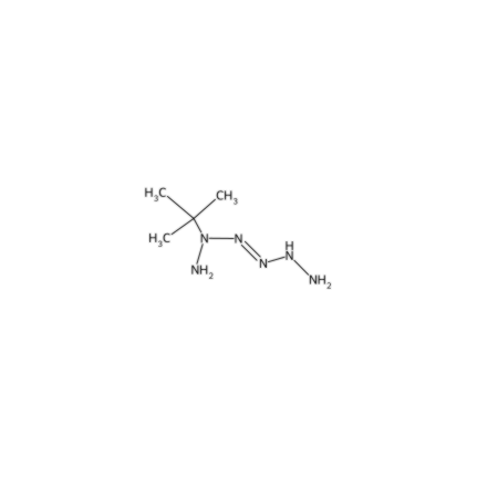 CC(C)(C)N(N)N=NNN